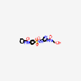 O=C(NS(=O)(=O)c1ccc(NC(=O)C2CCCCC2)cc1)c1ccc(C(=O)NCCO)nc1